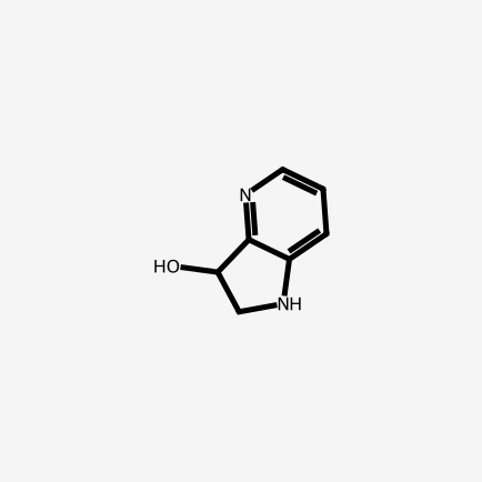 OC1CNc2cccnc21